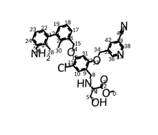 COC(=O)[C@@H](CO)NCc1cc(Cl)c(OCc2cccc(-c3cccc(N)c3C)c2C)cc1OCc1cncc(C#N)c1